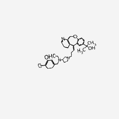 CC(C)(O)c1ccc2c(c1)/C(=C/CCN1CCC(N(CC=O)CC3=CC=C(Cl)CC3)C1)C1=C(CO2)N=CCC1